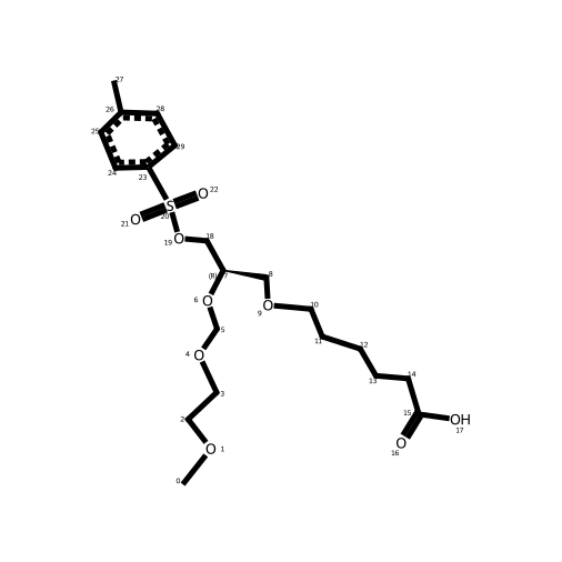 COCCOCO[C@H](COCCCCCC(=O)O)COS(=O)(=O)c1ccc(C)cc1